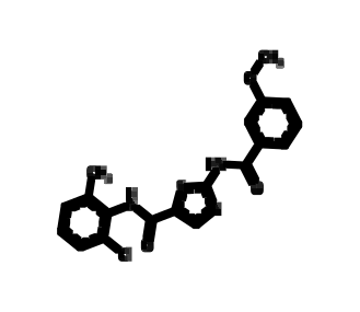 COc1cccc(C(=O)Nc2ncc(C(=O)Nc3c(C)cccc3Cl)s2)c1